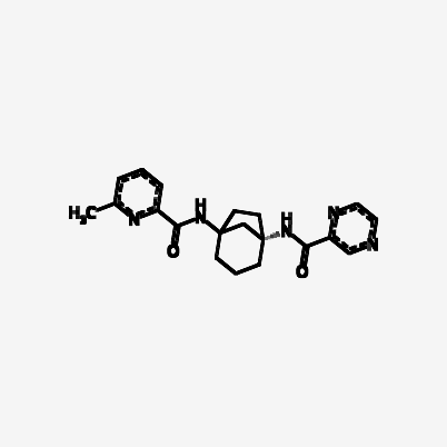 Cc1cccc(C(=O)NC23CCC[C@](NC(=O)c4cnccn4)(CC2)C3)n1